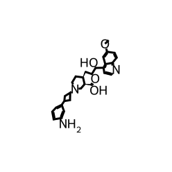 COc1ccc2nccc([C@@H](O)CC[C@@H]3CCN(C4CC(c5cccc(N)c5)C4)C[C@@H]3C(=O)O)c2c1